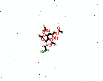 CC(=O)OC[C@@H](O)[C@@H](OC(C)=O)[C@H](OC(C)=O)[C@H](OC(C)=O)C(=O)OCCBr